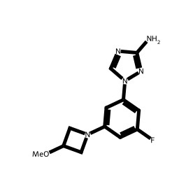 COC1CN(c2cc(F)cc(-n3cnc(N)n3)c2)C1